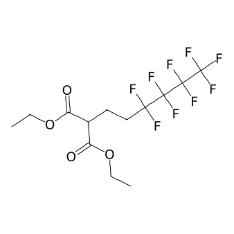 CCOC(=O)C(CCC(F)(F)C(F)(F)C(F)(F)C(F)(F)F)C(=O)OCC